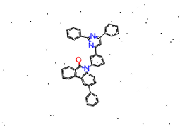 O=c1c2ccccc2c2cc(-c3ccccc3)ccc2n1-c1cccc(-c2cc(-c3ccccc3)nc(-c3ccccc3)n2)c1